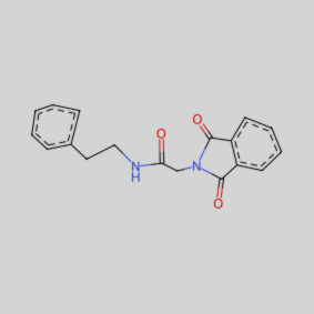 O=C(CN1C(=O)c2ccccc2C1=O)NCCc1ccccc1